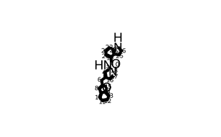 O=C(Nc1cc(Cc2cc3ccccc3o2)ccn1)c1cccc2c1CCN2